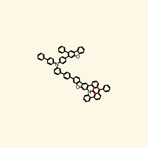 c1ccc(-c2ccc(N(c3ccc(-c4cc5oc6ccccc6c5cc4-c4ccccc4)cc3)c3cccc(-c4ccc(-c5ccc6c(c5)oc5cc(N(c7ccc(-c8ccccc8)cc7)c7ccccc7-c7ccccc7)c(-c7ccccc7)cc56)cc4)c3)cc2)cc1